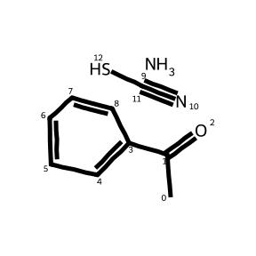 CC(=O)c1ccccc1.N.N#CS